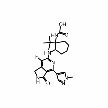 Cn1cc(-c2nc(NC3CCCCC3(NC(=O)O)C(C)(C)C)c(F)c3c2C(=O)NC3)cn1